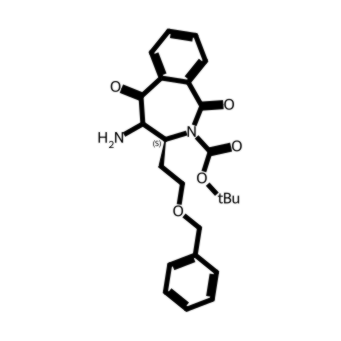 CC(C)(C)OC(=O)N1C(=O)c2ccccc2C(=O)C(N)[C@@H]1CCOCc1ccccc1